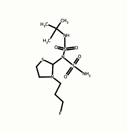 CC(C)(C)NS(=O)(=O)N(C1SCCN1CCCF)S(N)(=O)=O